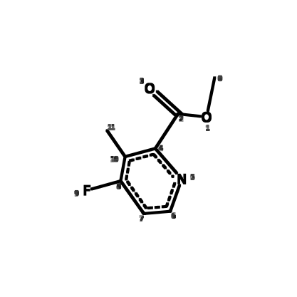 COC(=O)c1nccc(F)c1C